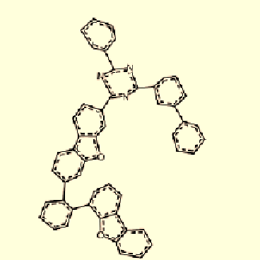 c1ccc(-c2cccc(-c3nc(-c4ccccc4)nc(-c4ccc5c(c4)oc4cc(-c6ccccc6-c6cccc7c6oc6ccccc67)ccc45)n3)c2)cc1